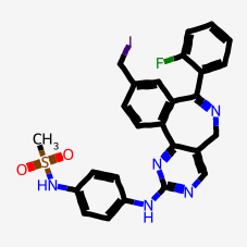 CS(=O)(=O)Nc1ccc(Nc2ncc3c(n2)-c2ccc(CI)cc2C(c2ccccc2F)=NC3)cc1